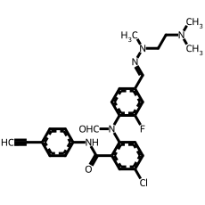 C#Cc1ccc(NC(=O)c2cc(Cl)ccc2N(C=O)c2ccc(C=NN(C)CCN(C)C)cc2F)cc1